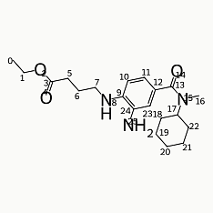 CCOC(=O)CCCNc1ccc(C(=O)N(C)C2CCCCC2)cc1N